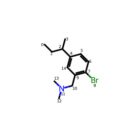 CCC(C)c1ccc(Br)c(CN(C)C)c1